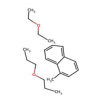 CCCOCCC.CCOCC.Cc1cccc2ccccc12